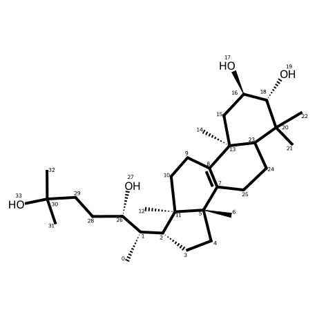 C[C@@H]([C@H]1CC[C@@]2(C)C3=C(CC[C@]12C)[C@@]1(C)C[C@@H](O)[C@H](O)C(C)(C)C1CC3)[C@@H](O)CCC(C)(C)O